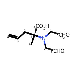 C=CC[C@](C)(C(=O)O)N(CC=O)CC=O